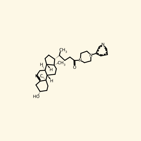 CC(CCC(=O)N1CCN(c2cccnc2)CC1)[C@H]1CC[C@H]2[C@@H]3CC=C4C[C@@H](O)CC[C@]4(C)[C@H]3CC[C@]12C